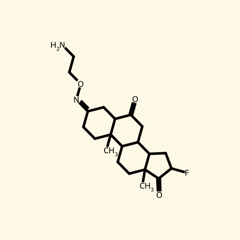 CC12CCC3C(CC(=O)C4CC(=NOCCN)CCC43C)C1CC(F)C2=O